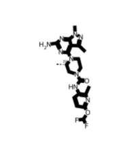 Cc1nc(OC(F)F)ccc1NC(=O)N1CCN(c2nc(N)nc3c2c(C)nn3C)[C@@H](C)C1